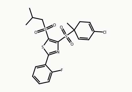 CC(C)CS(=O)(=O)c1sc(-c2ccccc2F)nc1S(=O)(=O)C1(C)C=CC(Cl)=CC1